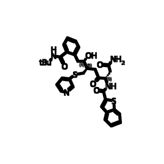 CC(C)(C)NC(=O)c1ccccc1C[C@@H](O)[C@H](CSc1cccnc1)CC(=O)[C@H](CC(N)=O)NC(=O)c1cc2ccccc2s1